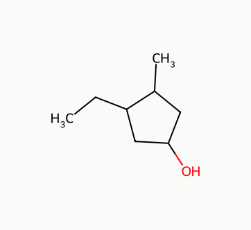 CCC1CC(O)CC1C